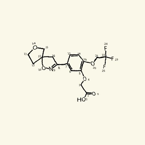 O=C(O)COc1cc(C2=NOC3(CCOC3)C2)ccc1OCC(F)(F)F